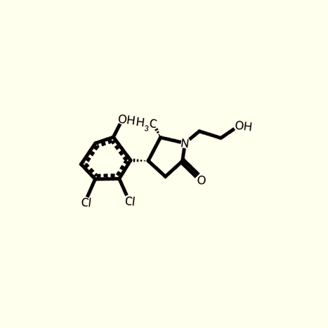 C[C@H]1[C@@H](c2c(O)ccc(Cl)c2Cl)CC(=O)N1CCO